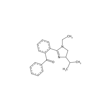 CCN1CC(C(C)C)N=C1c1ccccc1C(=O)c1ccccc1